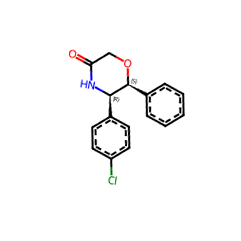 O=C1CO[C@@H](c2ccccc2)[C@@H](c2ccc(Cl)cc2)N1